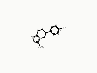 Cc1nnc2n1CC(c1ccc(F)cc1)CC2